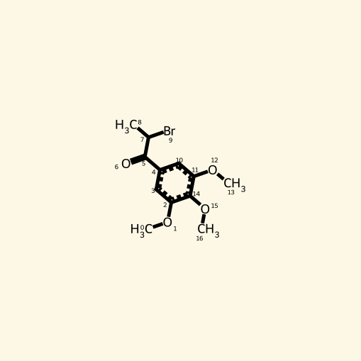 COc1cc(C(=O)C(C)Br)cc(OC)c1OC